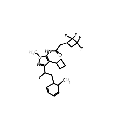 CC1C=CC=CC1CC(I)c1nn(C)c(NC(=O)C[C@@H]2CC(F)(F)C2(F)F)c1C1CCC1